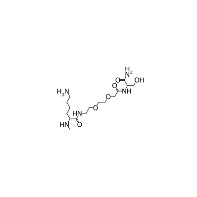 CNC(CCCCN)C(=O)NCCOCCOCC(=O)NC(CO)C(N)=O